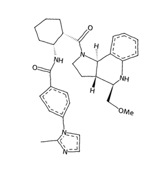 COC[C@@H]1Nc2ccccc2[C@H]2[C@H]1CCN2C(=O)[C@H]1CCCC[C@H]1NC(=O)c1ccc(-n2ccnc2C)cc1